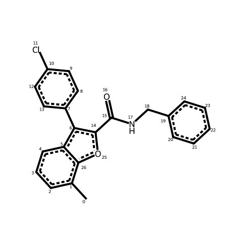 Cc1cccc2c(-c3ccc(Cl)cc3)c(C(=O)NCc3ccccc3)oc12